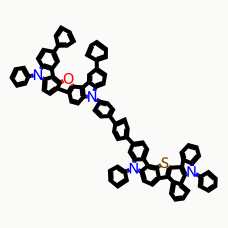 c1ccc(-c2ccc3c(c2)c2c4oc5c(ccc6c5c5cc(-c7ccccc7)ccc5n6-c5ccc(-c6ccc(-c7ccc8c9c%10sc%11c(c%12ccccc%12c%12c%11c%11ccccc%11n%12-c%11ccccc%11)c%10ccc9n(-c9ccccc9)c8c7)cc6)cc5)c4ccc2n3-c2ccccc2)cc1